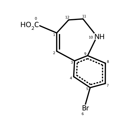 O=C(O)C1=Cc2cc(Br)ccc2NCC1